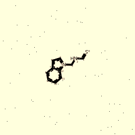 S=[C]NCn1ccc2ccccc21